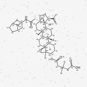 C=C(C)[C@@H]1CC[C@]2(CC(=O)NC3CC4CCC(C3)N4C)CC[C@]3(C)[C@H](CC[C@@H]4[C@@]5(C)CC[C@H](OC(=O)CC(C)(C)CC(=O)O)C(C)(C)[C@@H]5CC[C@]43C)[C@@H]12